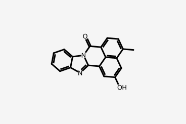 Cc1ccc2c(=O)n3c4ccccc4nc3c3cc(O)cc1c23